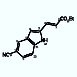 CCOC(=O)C=Cc1cc2cc(C#N)ccc2[nH]1